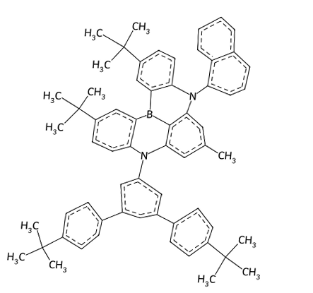 Cc1cc2c3c(c1)N(c1cccc4ccccc14)c1ccc(C(C)(C)C)cc1B3c1cc(C(C)(C)C)ccc1N2c1cc(-c2ccc(C(C)(C)C)cc2)cc(-c2ccc(C(C)(C)C)cc2)c1